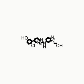 OCCn1cnc2ccc(Nc3nc4ccc(-c5cc(O)ccc5Cl)cn4n3)cc21